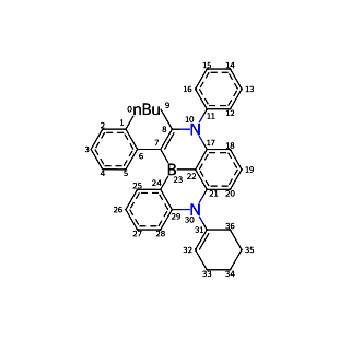 CCCCc1ccccc1C1=C(C)N(c2ccccc2)c2cccc3c2B1c1ccccc1N3C1=CCCCC1